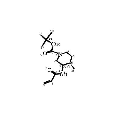 C=CC(=O)N[C@H]1CN(C(=O)OC(C)(C)C)CC[C@H]1C